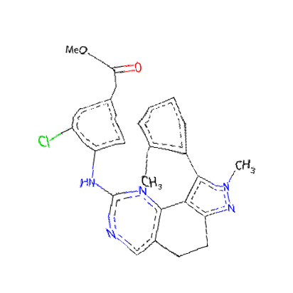 COC(=O)c1ccc(Nc2ncc3c(n2)-c2c(nn(C)c2-c2ccccc2C)CC3)c(Cl)c1